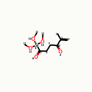 C=C(C)C(=O)CCC(=O)[Si](OC)(OC)OC